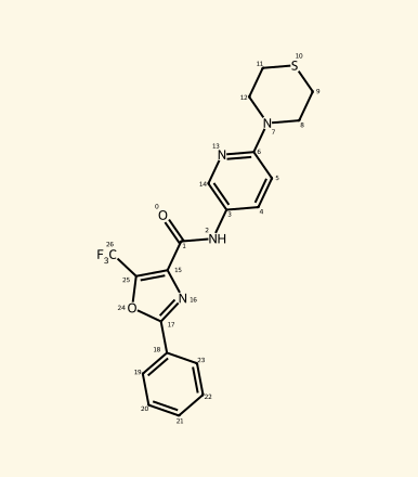 O=C(Nc1ccc(N2CCSCC2)nc1)c1nc(-c2ccccc2)oc1C(F)(F)F